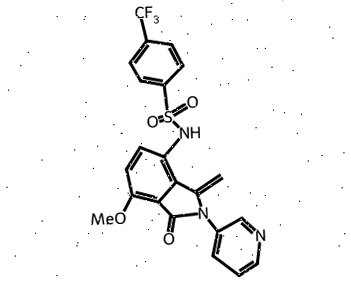 C=C1c2c(NS(=O)(=O)c3ccc(C(F)(F)F)cc3)ccc(OC)c2C(=O)N1c1cccnc1